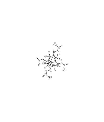 CC(O)COC12C(F)(F)C3(OCC(C)O)C(F)(F)C(OCC(C)O)(C1(F)F)C(F)(F)C(OCC(C)O)(C2(F)F)C3(F)F